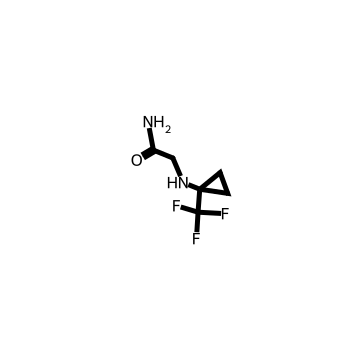 NC(=O)CNC1(C(F)(F)F)CC1